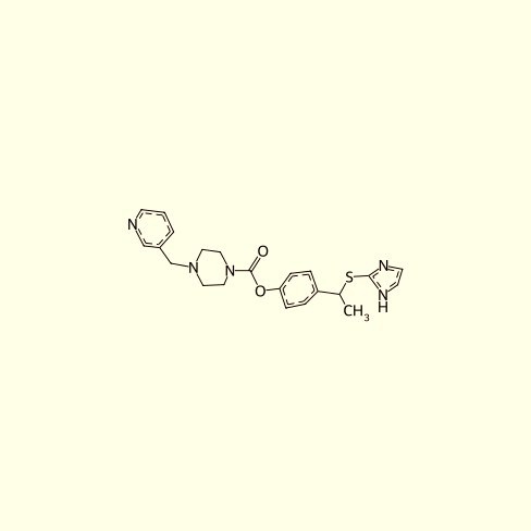 CC(Sc1ncc[nH]1)c1ccc(OC(=O)N2CCN(Cc3cccnc3)CC2)cc1